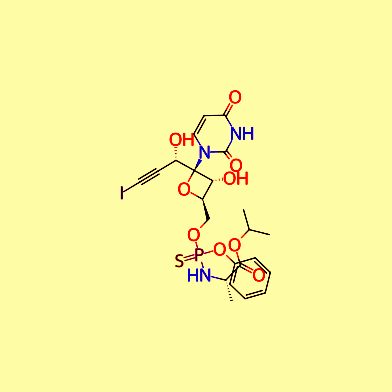 CC(C)OC(=O)[C@H](C)NP(=S)(OC[C@H]1O[C@@]([C@@H](O)C#CI)(n2ccc(=O)[nH]c2=O)[C@@H]1O)Oc1ccccc1